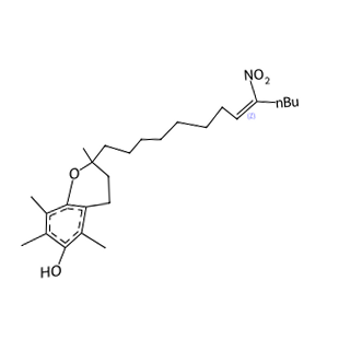 CCCC/C(=C/CCCCCCCC1(C)CCc2c(C)c(O)c(C)c(C)c2O1)[N+](=O)[O-]